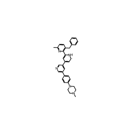 Cc1ccc(Cc2ccccc2)c(C2=CC(c3cncc(-c4ccc(N5CCN(C)CC5)cc4)c3)=C[CH]N2)n1